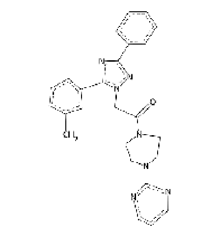 Cc1cccc(-c2nc(-c3ccccc3)nn2CC(=O)N2CCN(c3ncccn3)CC2)c1